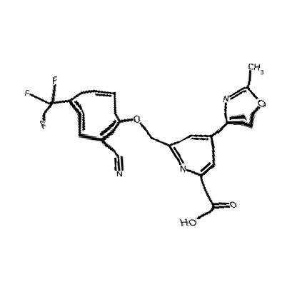 Cc1nc(-c2cc(COc3ccc(C(F)(F)F)cc3C#N)nc(C(=O)O)c2)co1